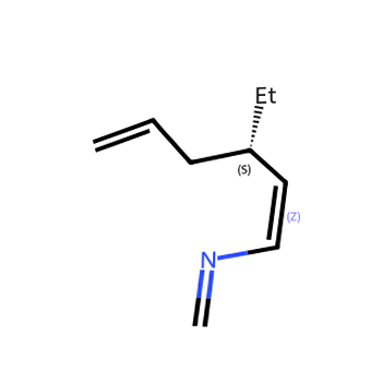 C=CC[C@@H](/C=C\N=C)CC